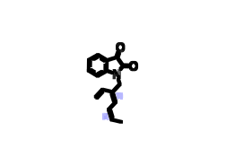 C=C/C(=C\C=C/C)CN1C(=O)C(=O)c2ccccc21